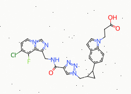 O=C(O)CCn1ccc2cc(C3CC3Cn3cc(C(=O)NCc4ncn5ccc(Cl)c(F)c45)nn3)ccc21